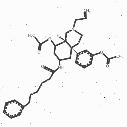 C=CCN1CC[C@@]2(c3cccc(OC(C)=O)c3)C[C@@H](NC(=O)CCCCCc3ccccc3)CC(OC(C)=O)[C@@H]2C1